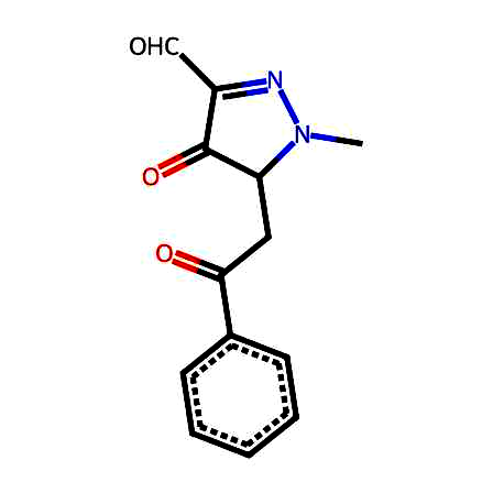 CN1N=C(C=O)C(=O)C1CC(=O)c1ccccc1